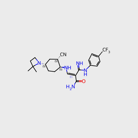 CC1(C)CCN1[C@H]1CC[C@H](N/C=C(\C(=N)Nc2ccc(C(F)(F)F)cc2)C(N)=O)[C@@H](C#N)C1